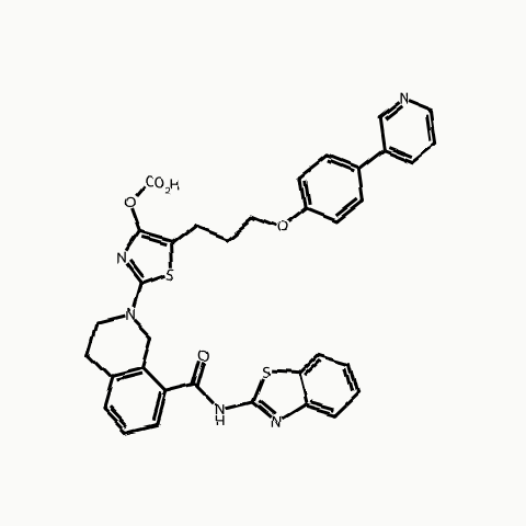 O=C(O)Oc1nc(N2CCc3cccc(C(=O)Nc4nc5ccccc5s4)c3C2)sc1CCCOc1ccc(-c2cccnc2)cc1